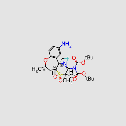 C[C@H]1C[C@H]2[C@](CF)(N=C(N(C(=O)OC(C)(C)C)C(=O)OC(C)(C)C)C(C)(C)S2(=O)=O)c2cc(N)ccc2O1